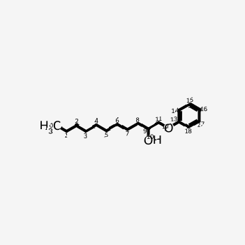 CCCCCCCCCC(O)COc1ccccc1